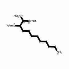 CCCCCC(CCCCCCCCN)C(CCCCC)C(=O)O